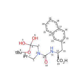 CC(C)CN(CC(O)(O)OC(C)(C)C)C(=O)N[C@@H](Cc1ccc2ccccc2c1)C(=O)O